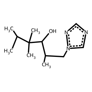 CC(Cn1cncn1)C(O)C(C)(C)C(C)C